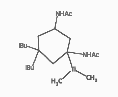 CCC(C)C1(C(C)CC)CC(NC(C)=O)C[C](NC(C)=O)([Ti]([CH3])[CH3])C1